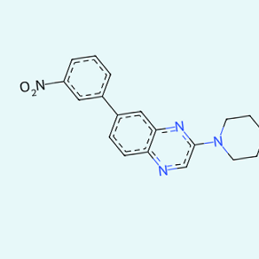 O=[N+]([O-])c1cccc(-c2ccc3ncc(N4CCCCC4)nc3c2)c1